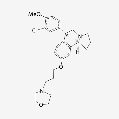 COc1ccc([C@@H]2CN3CCC[C@H]3c3cc(OCCCN4CCOCC4)ccc32)cc1Cl